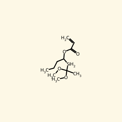 C=CC(=O)OC(CCC)[SiH2]C(C)(OC)OC